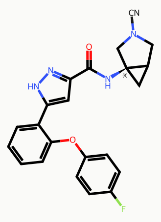 N#CN1CC2C[C@]2(NC(=O)c2cc(-c3ccccc3Oc3ccc(F)cc3)[nH]n2)C1